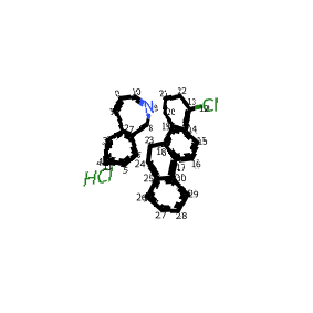 C1=Cc2ccccc2CN=C1.Cl.ClC1=c2ccc3c(c2CCC1)CC=c1ccccc1=3